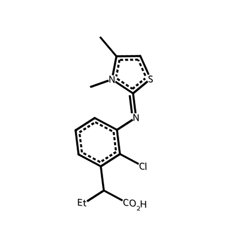 CCC(C(=O)O)c1cccc(N=c2scc(C)n2C)c1Cl